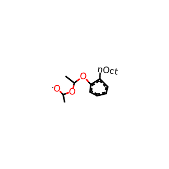 CCCCCCCCc1ccccc1OC(C)OC(C)[O]